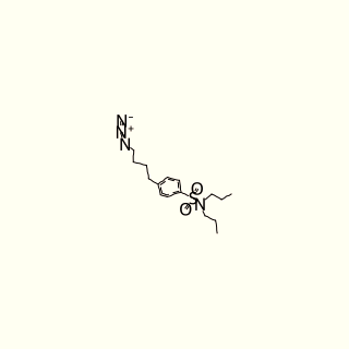 CCCN(CCC)S(=O)(=O)c1ccc(CCCCN=[N+]=[N-])cc1